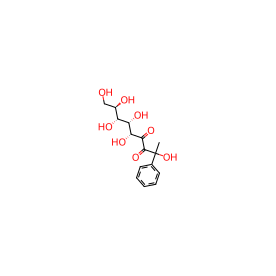 CC(O)(C(=O)C(=O)[C@H](O)[C@@H](O)[C@H](O)[C@H](O)CO)c1ccccc1